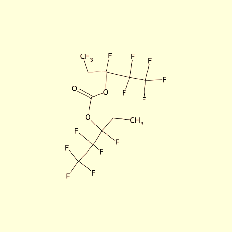 CCC(F)(OC(=O)OC(F)(CC)C(F)(F)C(F)(F)F)C(F)(F)C(F)(F)F